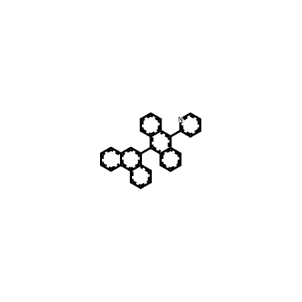 c1ccc(-c2c3ccccc3c(-c3cc4ccccc4c4ccccc34)c3ccccc23)nc1